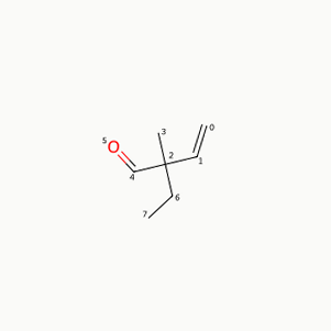 C=CC(C)(C=O)CC